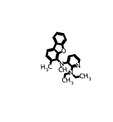 CCN(CC)c1ncccc1N(C)c1c(C)ccc2c1oc1ccccc12